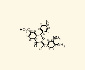 Nc1ccc(C(I)=C(SCc2ccc(F)cc2)C(=O)c2ccc(C(=O)O)cc2)cc1[N+](=O)[O-]